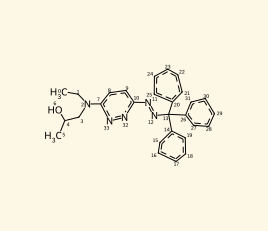 CCN(CC(C)O)c1ccc(N=NC(c2ccccc2)(c2ccccc2)c2ccccc2)nn1